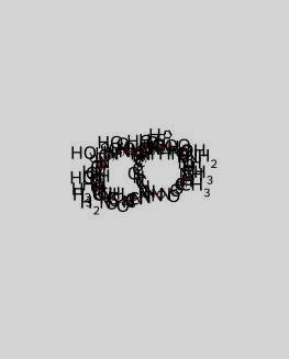 C[C@H]1CSCC(=O)N2CCN(CC2)c2nc3nc(n2)N2CCN(CC2)C(=O)CSC[C@@H]2NC(=O)[C@H](NC(=O)[C@H](Cc4cccc5ccccc45)NC(=O)[C@H](CCC(=O)O)NC(=O)[C@H](CC(N)=O)NC(=O)[C@@H](C)NC1=O)C(C(=O)O)C[C@H](NC2=O)C(=O)N[C@@H](CC(=O)O)C(=O)N[C@@H](Cc1ccccc1)C(=O)N[C@@H](Cc1ccc(O)cc1)C(=O)N[C@@H](CC(=O)O)C(=O)N[C@@H](C(C)(C)C)C(=O)N[C@H](C(N)=O)CSCC(=O)N1CCN3CC1